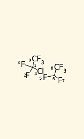 FC(F)(F)C(F)(F)Cl.FC(F)C(F)(F)F